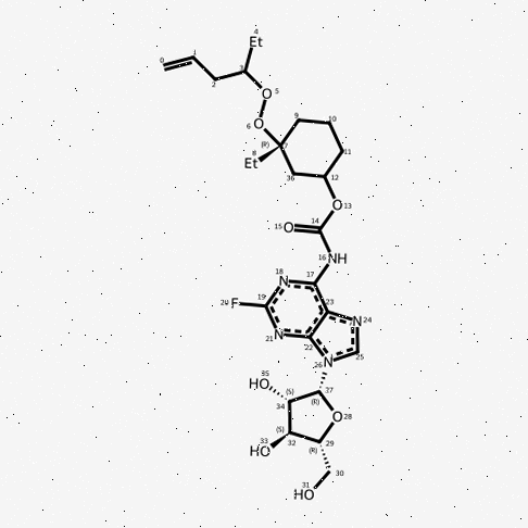 C=CCC(CC)OO[C@]1(CC)CCCC(OC(=O)Nc2nc(F)nc3c2ncn3[C@@H]2O[C@H](CO)[C@@H](O)[C@@H]2O)C1